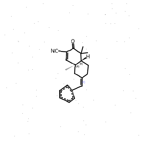 CC1(C)C(=O)C(C#N)=C[C@]2(C)C/C(=C\c3ccccc3)CC[C@@H]12